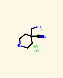 Cl.Cl.N#CC1(CN)CCNCC1